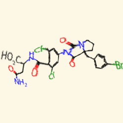 NC(=O)C[C@H](NC(=O)c1c(Cl)cc(N2C(=O)N3CCCC3(Cc3ccc(Br)cc3)C2=O)cc1Cl)C(=O)O